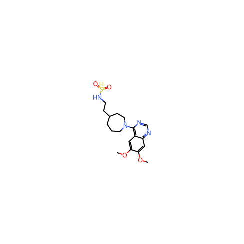 COc1cc2ncnc(N3CCCC(CCN[SH](=O)=O)CC3)c2cc1OC